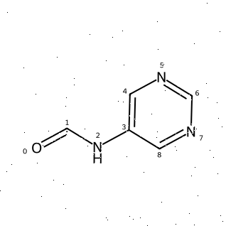 O=[C]Nc1cncnc1